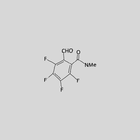 CNC(=O)c1c(F)c(F)c(F)c(F)c1C=O